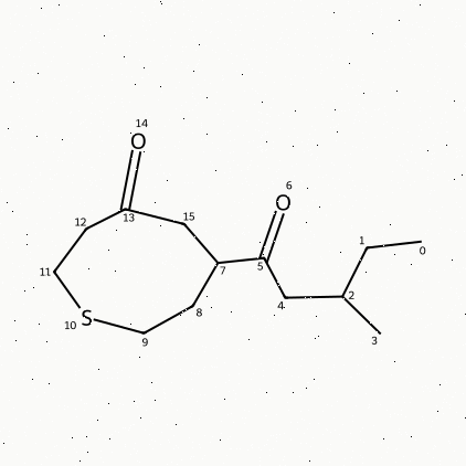 CCC(C)CC(=O)C1CCSCCC(=O)C1